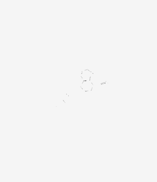 C[C@@H]1CC(c2cc(F)c(C#N)c3ncccc23)CN(C(=O)OC(C)(C)C)C1